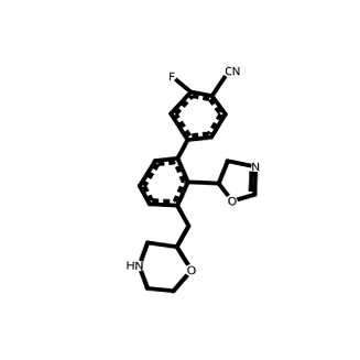 N#Cc1ccc(-c2cccc(CC3CNCCO3)c2C2CN=CO2)cc1F